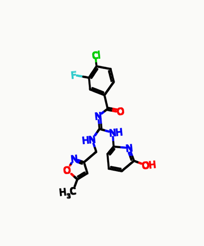 Cc1cc(CN/C(=N/C(=O)c2ccc(Cl)c(F)c2)Nc2cccc(O)n2)no1